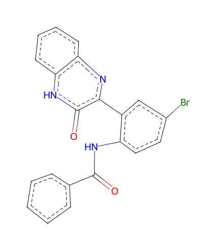 O=C(Nc1ccc(Br)cc1-c1nc2ccccc2[nH]c1=O)c1ccccc1